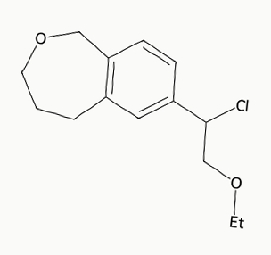 CCOCC(Cl)c1ccc2c(c1)CCCOC2